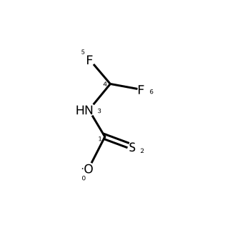 [O]C(=S)NC(F)F